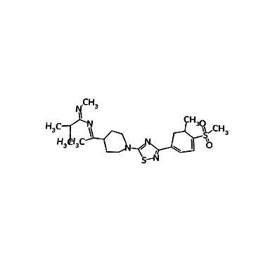 C/N=C(\N=C(/C)C1CCN(c2nc(C3=CC=C(S(C)(=O)=O)C(C)C3)ns2)CC1)C(C)C